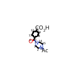 CC(=O)N1CCN(C(=O)c2ccc(C(=O)O)cc2)CC1